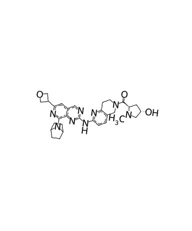 CN1C[C@@H](O)C[C@@H]1C(=O)N1CCc2nc(Nc3ncc4cc(C5COC5)nc(N5C6CCC5CC6)c4n3)ccc2C1